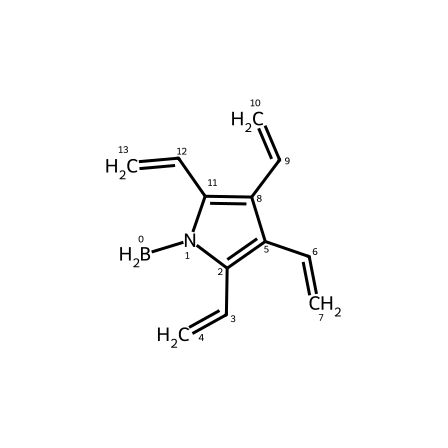 Bn1c(C=C)c(C=C)c(C=C)c1C=C